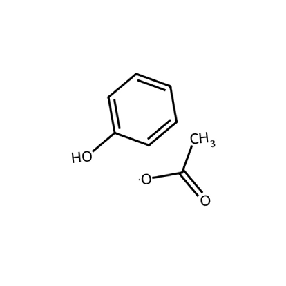 CC([O])=O.Oc1ccccc1